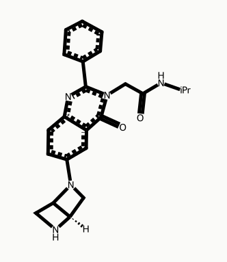 CC(C)NC(=O)Cn1c(-c2ccccc2)nc2ccc(N3C[C@H]4NCC43)cc2c1=O